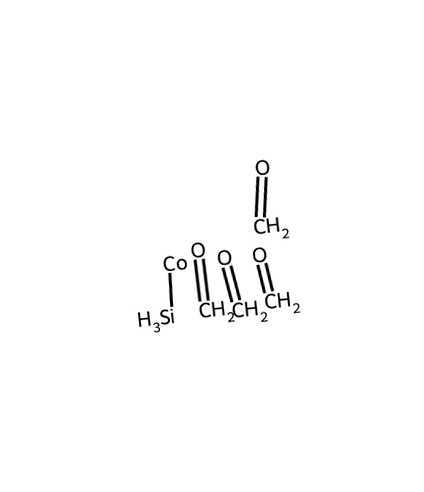 C=O.C=O.C=O.C=O.[SiH3][Co]